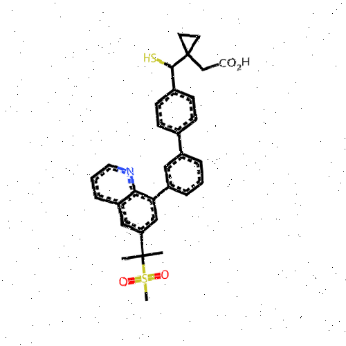 CC(C)(c1cc(-c2cccc(-c3ccc(C(S)C4(CC(=O)O)CC4)cc3)c2)c2ncccc2c1)S(C)(=O)=O